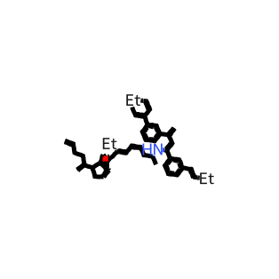 C=CCCC(=C)C1CC2=CC=C(/C(=C/C=C\CC(C)N/C(=C\C(=C)c3cccc(C(/C=C\CC)=C/C)c3)c3cccc(/C=C/CC)c3)CC)C3=CC[C@H]2C31